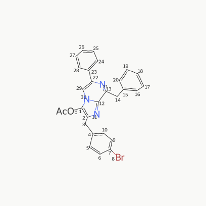 CC(=O)Oc1c(Cc2ccc(Br)cc2)nc2c(Cc3ccccc3)nc(-c3ccccc3)cn12